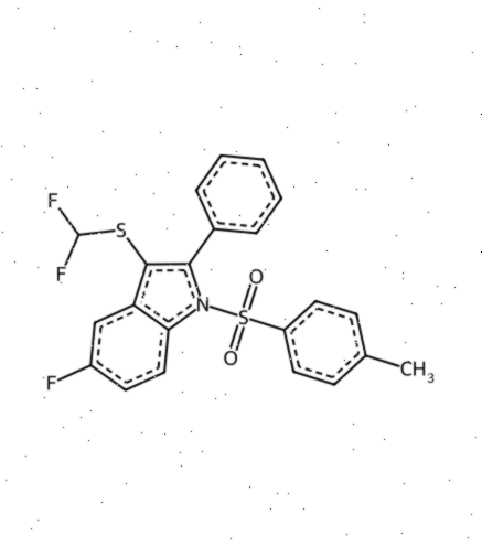 Cc1ccc(S(=O)(=O)n2c(-c3ccccc3)c(SC(F)F)c3cc(F)ccc32)cc1